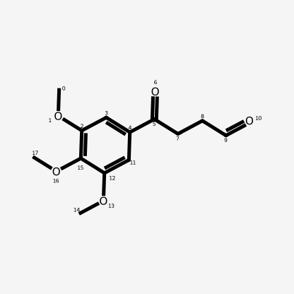 COc1cc(C(=O)[CH]CC=O)cc(OC)c1OC